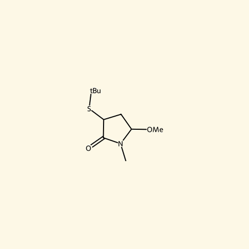 COC1CC(SC(C)(C)C)C(=O)N1C